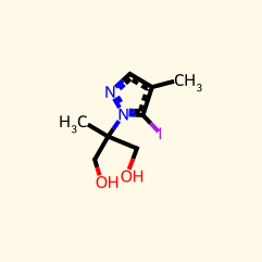 Cc1cnn(C(C)(CO)CO)c1I